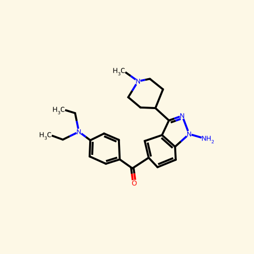 CCN(CC)c1ccc(C(=O)c2ccc3c(c2)c(C2CCN(C)CC2)nn3N)cc1